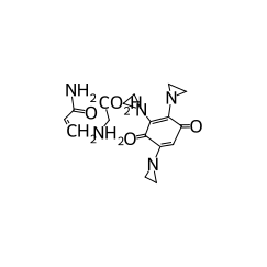 C=CC(N)=O.NCC(=O)O.O=C1C=C(N2CC2)C(=O)C(N2CC2)=C1N1CC1